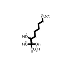 CCCCCCCCCCCCCC(O)C(O)(O)C(=O)O